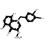 O=C(O)Oc1cn(Cc2ccc(F)c(F)c2)c2c(F)ccc(F)c2c1=O